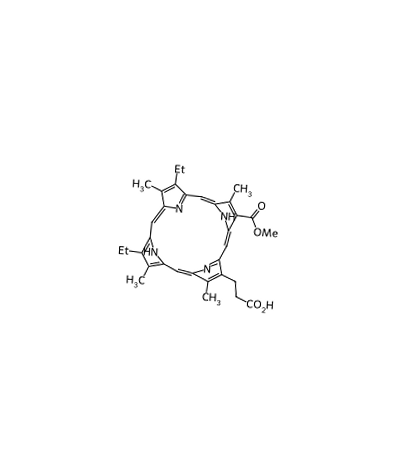 CCC1=C(C)c2cc3[nH]c(cc4nc(cc5[nH]c(cc1n2)c(C)c5C(=O)OC)C(CCC(=O)O)=C4C)c(C)c3CC